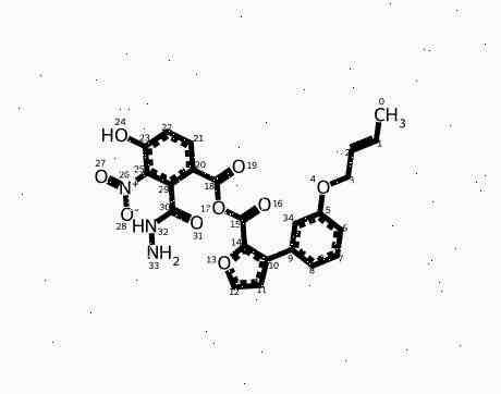 CC=CCOc1cccc(-c2ccoc2C(=O)OC(=O)c2ccc(O)c([N+](=O)[O-])c2C(=O)NN)c1